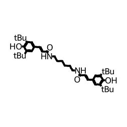 CC(C)(C)c1cc(C=CC(=O)NCCCCCCNC(=O)C=Cc2cc(C(C)(C)C)c(O)c(C(C)(C)C)c2)cc(C(C)(C)C)c1O